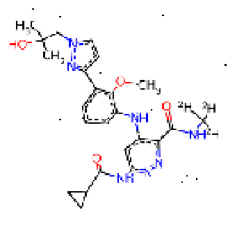 [2H]C([2H])([2H])NC(=O)c1nnc(NC(=O)C2CC2)cc1Nc1cccc(-c2ccn(CC(C)(C)O)n2)c1OC